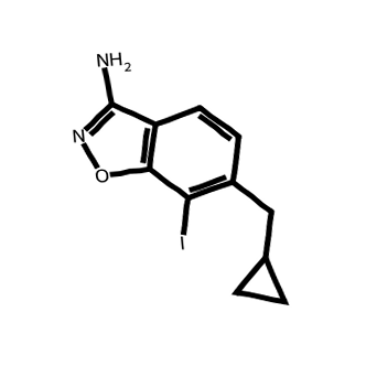 Nc1noc2c(I)c(CC3CC3)ccc12